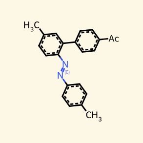 CC(=O)c1ccc(-c2cc(C)ccc2/N=N/c2ccc(C)cc2)cc1